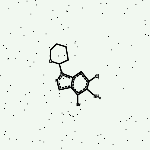 Nc1c(Cl)cc2c(cnn2C2CCCCO2)c1Br